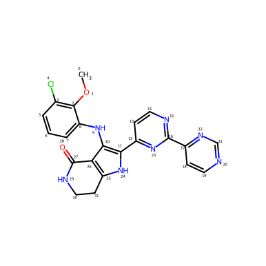 COc1c(Cl)cccc1Nc1c(-c2ccnc(-c3ccncn3)n2)[nH]c2c1C(=O)NCC2